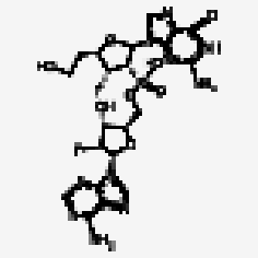 Nc1nc2c(ncn2[C@@H]2O[C@H](CCO)[C@@H](F)[C@H]2P(=O)(O)OC[C@H]2O[C@@H](n3cnc4c(N)ncnc43)[C@@H](F)[C@@H]2O)c(=O)[nH]1